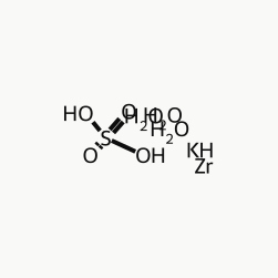 O.O.O.O=S(=O)(O)O.[KH].[Zr]